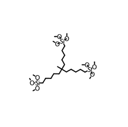 CO[Si](CCCCCC(C)(CCCCC[Si](OC)(OC)OC)CCCCC[Si](OC)(OC)OC)(OC)OC